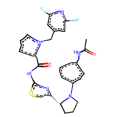 CC(=O)Nc1ccc(N2CCC[C@@H]2c2csc(NC(=O)c3cccn3Cc3cc(F)nc(F)c3)n2)cc1